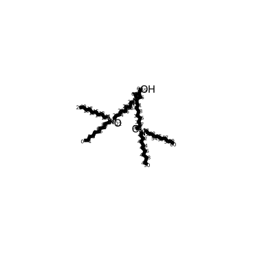 CCCCCCCCCCN(CCCCCCCCCC)C(=O)CCCCCCCN(CCCCCCCC(=O)N(CCCCCCCCCC)CCCCCCCCCC)C1CC(CO)C1